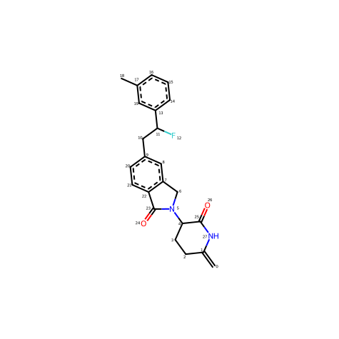 C=C1CCC(N2Cc3cc(CC(F)c4cccc(C)c4)ccc3C2=O)C(=O)N1